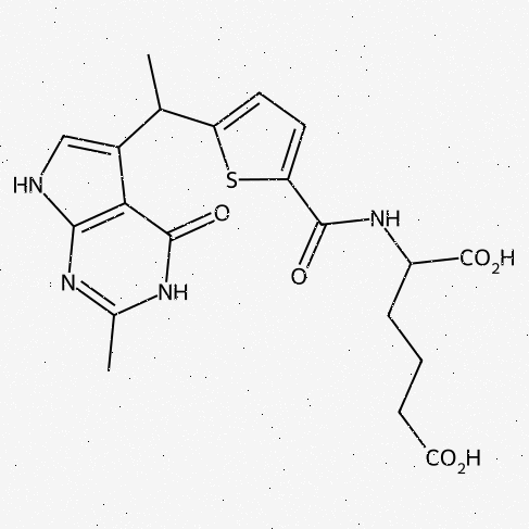 Cc1nc2[nH]cc(C(C)c3ccc(C(=O)NC(CCCC(=O)O)C(=O)O)s3)c2c(=O)[nH]1